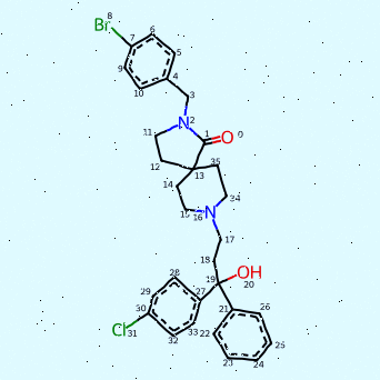 O=C1N(Cc2ccc(Br)cc2)CCC12CCN(CCC(O)(c1ccccc1)c1ccc(Cl)cc1)CC2